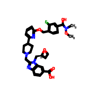 CON(C)C(O)c1ccc(COc2cccc(C3CCN(Cc4nc5ccc(C(=O)O)cc5n4C[C@@H]4CCO4)CC3)n2)c(F)c1